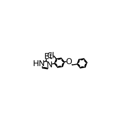 CCC1NC=CN1c1ccc(OCc2ccccc2)cc1Cl